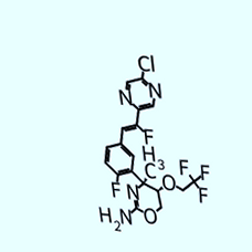 C[C@]1(c2cc(/C=C(\F)c3cnc(Cl)cn3)ccc2F)N=C(N)OC[C@@H]1OCC(F)(F)F